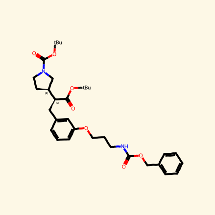 CC(C)(C)OC(=O)[C@@H](Cc1cccc(OCCCNC(=O)OCc2ccccc2)c1)[C@H]1CCN(C(=O)OC(C)(C)C)C1